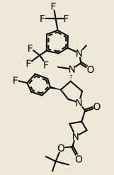 CN(C(=O)N(C)[C@@H]1CN(C(=O)C2CN(C(=O)OC(C)(C)C)C2)C[C@H]1c1ccc(F)cc1)c1cc(C(F)(F)F)cc(C(F)(F)F)c1